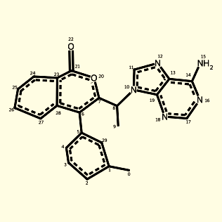 Cc1cccc(-c2c(C(C)n3cnc4c(N)ncnc43)oc(=O)c3ccccc23)c1